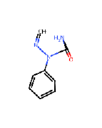 [CH]=NN(C(N)=O)c1ccccc1